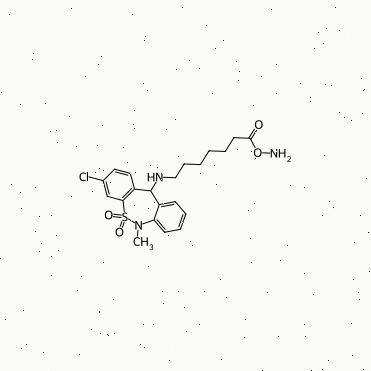 CN1c2ccccc2C(NCCCCCCC(=O)ON)c2ccc(Cl)cc2S1(=O)=O